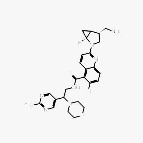 NC[C@H]1CN(c2ccc3c(C(=O)NCC(c4cnc(C(F)(F)F)nc4)N4CCOCC4)c(Cl)ccc3n2)[C@@H]2CC12